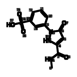 CNC(=O)c1cc(=O)n(-c2cccc(S(=O)(=O)O)c2)[nH]1